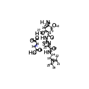 COc1cc(C(=O)Nc2nc(C(=O)NCCN(C(C)C)C(C)C)cs2)c(OC)cc1N.O=C(O)/C=C/C(=O)O